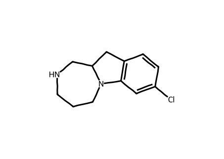 Clc1ccc2c(c1)N1CCCNCC1C2